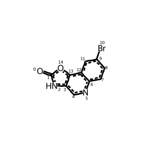 O=c1[nH]c2cnc3ccc(Br)cc3c2o1